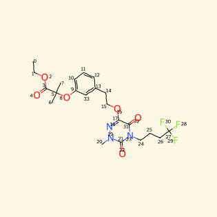 CCOC(=O)C(C)(C)Oc1cccc(CCOc2nn(C)c(=O)n(CCCC(F)(F)F)c2=O)c1